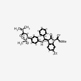 CCc1ccc2c(c1)N(C(=O)NC)C(=O)C2=C(Nc1ccc(N(CC(=O)N(C)C)S(C)(=O)=O)cc1)c1ccccc1